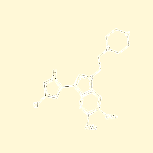 COc1cc2c(-c3cc(Cl)c[nH]3)cn(CCN3CCOCC3)c2cc1OC